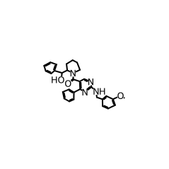 COc1cccc(CNc2ncc(C(=O)N3CCCCC3C(O)c3ccccc3)c(-c3ccccc3)n2)c1